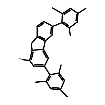 Cc1cc(C)c(-c2ccc3c(c2)-c2cc(-c4c(C)cc(C)cc4C)c[c]([Ti])c2C3)c(C)c1